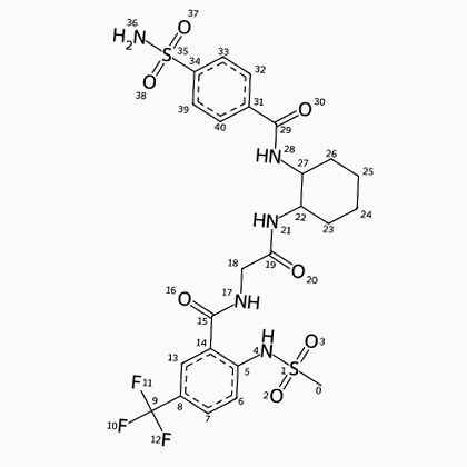 CS(=O)(=O)Nc1ccc(C(F)(F)F)cc1C(=O)NCC(=O)NC1CCCCC1NC(=O)c1ccc(S(N)(=O)=O)cc1